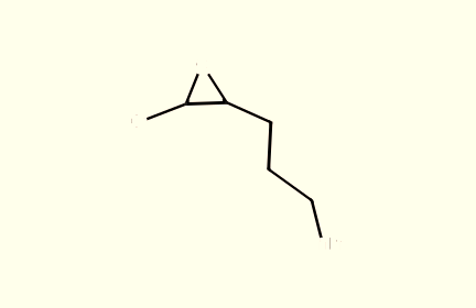 CCCCCCC1OC1Cl